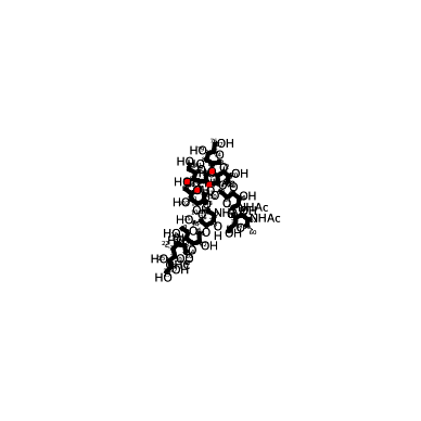 CC(=O)NC1C(O)[C@H](O[C@@H]2OC(CO)[C@H](O)[C@H](O[C@]3(OC=O)C[C@@H](O)[C@@H](C)C([C@H](O)[C@H](O)CO)O3)C2O)[C@H](CO)O[C@H]1OC1[C@@H](OCC2O[C@@H](O[C@@H]3C(CO)O[C@@H](O[C@@H]4C(CO)O[C@@H](C)C(NC(C)=O)[C@H]4O)C(NC(C)=O)[C@H]3O)C(O)[C@@H](O[C@H]3OC(CO)[C@@H](O)C(O)C3O[C@@H]3OC(CO)[C@@H](O)[C@H](O)C3NC(C)=O)[C@@H]2O)OC(CO)[C@@H](O)[C@@H]1O